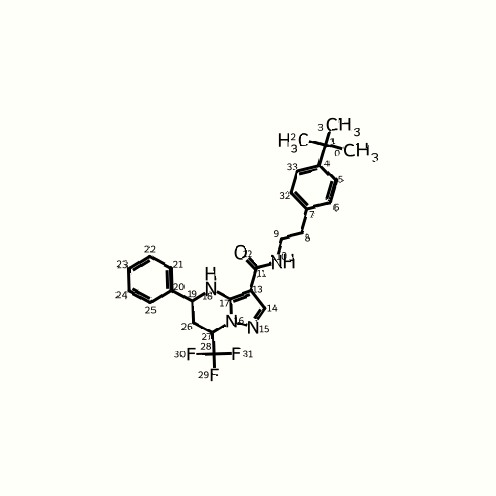 CC(C)(C)c1ccc(CCNC(=O)c2cnn3c2NC(c2ccccc2)CC3C(F)(F)F)cc1